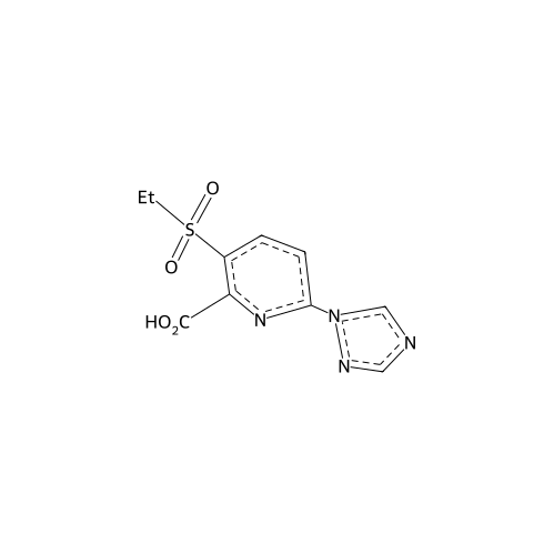 CCS(=O)(=O)c1ccc(-n2cncn2)nc1C(=O)O